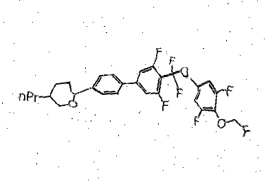 CCCC1CCC(c2ccc(-c3cc(F)c(C(F)(F)Oc4cc(F)c(OCF)c(F)c4)c(F)c3)cc2)OC1